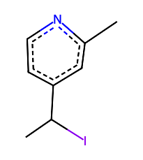 Cc1cc(C(C)I)ccn1